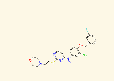 Fc1cccc(COc2ccc(Nc3ccnc(SCCN4CCOCC4)n3)cc2Cl)c1